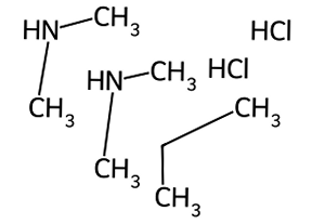 CCC.CNC.CNC.Cl.Cl